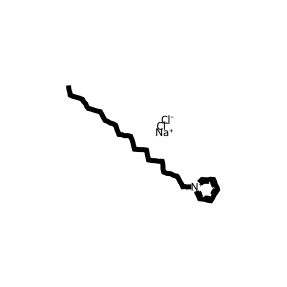 CCCCCCCCCCCCCCCC[n+]1ccccc1.[Cl-].[Cl-].[Na+]